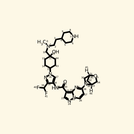 CN(CCC1CCNCC1)CC1(O)CCC(n2cc(NC(=O)c3cnn4ccc(N5C[C@H]6C[C@@H]5CO6)nc34)c(C(F)F)n2)CC1